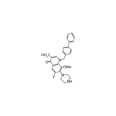 COc1c(N2CCNCC2)c(F)cc2c(=O)c(C(=O)O)cn(Cc3ccc(-c4ccccc4)cc3)c12